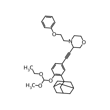 CCOC(OC)Oc1ccc(C#CC2COCCN2CCOc2ccccc2)cc1C12CC3CC(CC(C3)C1)C2